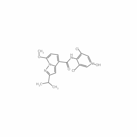 COc1ccc(C(=O)Nc2c(Cl)c[n+](O)cc2Cl)c2cc(C(C)C)nn12